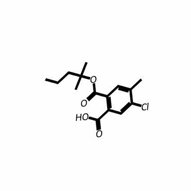 CCCC(C)(C)OC(=O)c1cc(C)c(Cl)cc1C(=O)O